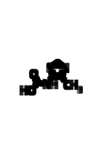 Cc1ncsc1NC(=O)O